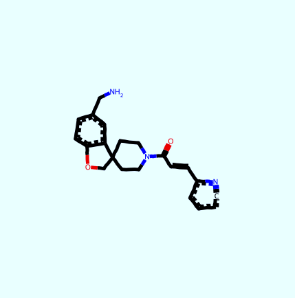 NCc1ccc2c(c1)C1(CCN(C(=O)/C=C/c3ccccn3)CC1)CO2